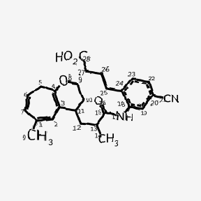 CC1=CC2=C(CC=C1)OCCC2CC(C)C(=O)Nc1cc(C#N)ccc1CCCC(=O)O